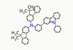 CC1(C)c2ccccc2-c2cc(N(c3cccc(-c4ccc5c6ccccc6n(-c6ccccc6)c5c4)c3)c3ccc4c(c3)-c3ccccc3C4(C)C)ccc21